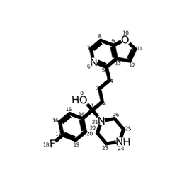 OC(CCCc1nccc2occc12)(c1ccc(F)cc1)N1CCNCC1